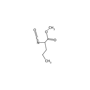 CCCC(N=C=O)C(=O)OC